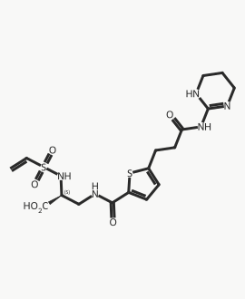 C=CS(=O)(=O)N[C@@H](CNC(=O)c1ccc(CCC(=O)NC2=NCCCN2)s1)C(=O)O